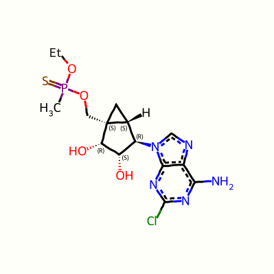 CCOP(C)(=S)OC[C@]12C[C@@H]1[C@@H](n1cnc3c(N)nc(Cl)nc31)[C@H](O)[C@@H]2O